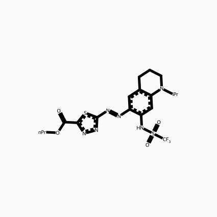 CCCOC(=O)c1nnc(N=Nc2cc3c(cc2NS(=O)(=O)C(F)(F)F)N(C(C)C)CCC3)s1